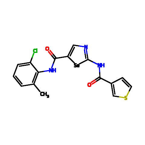 Cc1cccc(Cl)c1NC(=O)c1cnc(NC(=O)c2ccsc2)[se]1